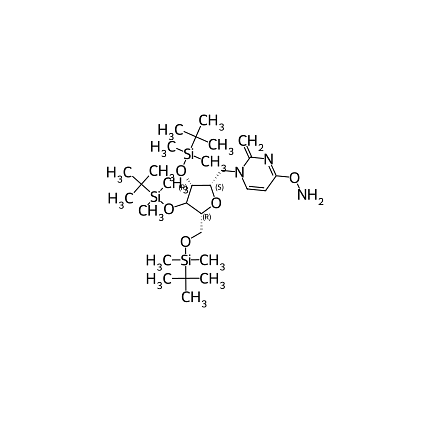 C=C1N=C(ON)C=CN1C[C@@H]1O[C@H](CO[Si](C)(C)C(C)(C)C)C(O[Si](C)(C)C(C)(C)C)[C@@H]1O[Si](C)(C)C(C)(C)C